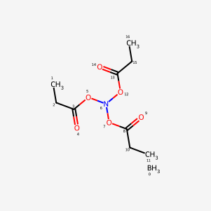 B.CCC(=O)ON(OC(=O)CC)OC(=O)CC